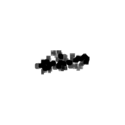 CN1CCCC1CCNC(=O)Nc1snc(OCc2c(F)cc(Cl)c(F)c2F)c1OC(N)=O